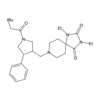 CCN1C(=O)N(CC)C2(CCN(CC3CN(C(=O)CC(C)(C)C)CC3c3ccccc3)CC2)C1=O